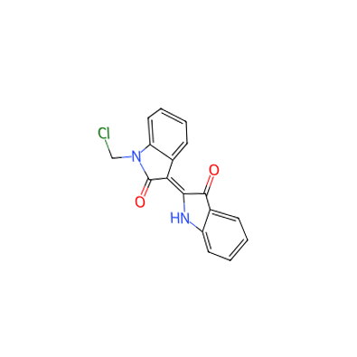 O=C1/C(=C2/C(=O)N(CCl)c3ccccc32)Nc2ccccc21